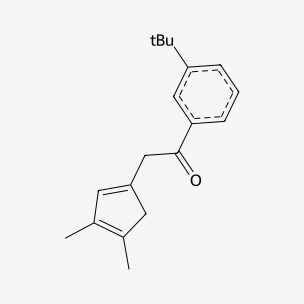 CC1=C(C)CC(CC(=O)c2cccc(C(C)(C)C)c2)=C1